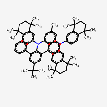 Cc1cc(N(c2ccc3c(c2)C(C)(C)CCC3(C)C)c2ccc3c(c2)C(C)(C)CCC3(C)C)cc(N(c2ccc3c(c2)C(C)(C)CCC3(C)C)c2c(-c3ccccc3)cc(C(C)(C)C)cc2-c2ccccc2)c1